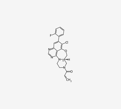 C=CC(=O)N1CCN2c3ncnc4cc(-c5ccccc5F)c(Cl)c(c34)OC[C@@H]2C1